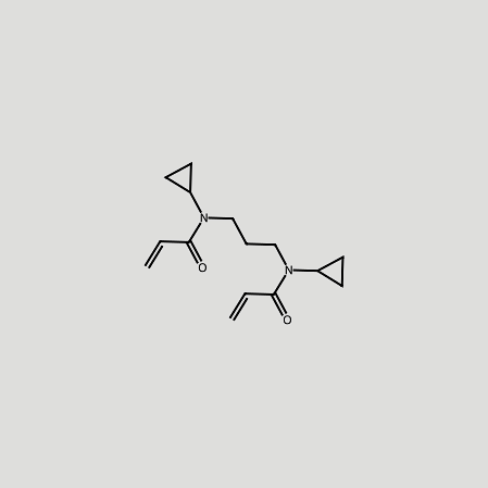 C=CC(=O)N(CCCN(C(=O)C=C)C1CC1)C1CC1